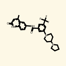 Cc1cc(=O)[nH]c2ccc(NC(=O)c3cc(N4CCC(N5CCCC5)CC4)cc(C(F)(F)F)c3)cc12